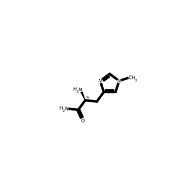 Cn1cnc(C[C@H](N)C(N)=O)c1